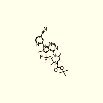 Cc1c(C(F)(F)F)c2c(N3C[C@H](C)N(C(=O)OC(C)(C)C)CC3C)ncnc2n1-c1cc(C#N)ccn1